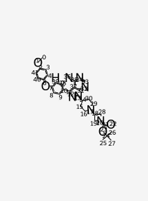 COc1ccc(Oc2ccc(-c3nn(C4CCN(C5CN(C(=O)OC(C)(C)C)C5)CC4)c4ncnc(N)c34)cc2)cc1